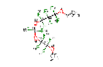 FC(F)(F)COC(F)(F)C(F)(F)C(F)(F)OC(F)(F)OC(F)(F)C(F)(F)OC(F)(F)F